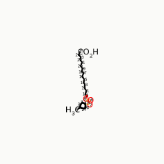 Cc1ccc(S(=O)(=O)OCCCCCCCCCCCCCCCCC(=O)O)cc1